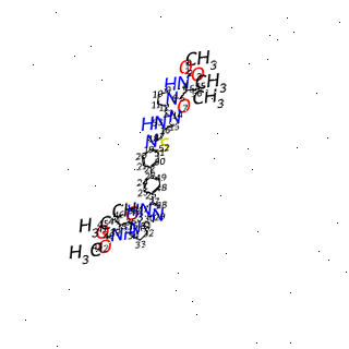 COC(=O)NC(C(=O)N1CCCC1c1ncc(-c2nc3ccc(-c4ccc(-c5cnc([C@@H]6CCCN6C(=O)C(NC(=O)OC)C(C)C)[nH]5)cc4)cc3s2)[nH]1)C(C)C